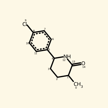 CC1CCC(c2ccc(Cl)cc2)NC1=O